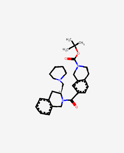 CC(C)(C)OC(=O)N1CCc2ccc(C(=O)N3Cc4ccccc4C[C@H]3CN3CCCCC3)cc2C1